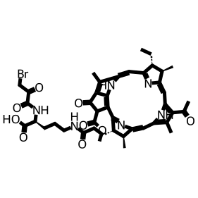 CC[C@H]1c2cc3[nH]c4c(c3C)C(=O)C(C(=O)OC)c4c3nc(cc4[nH]c(cc(n2)[C@@H]1C)c(C(C)=O)c4C)[C@@H](C)[C@@H]3CCC(=O)NCCC[C@H](NC(=O)C(=O)CBr)C(=O)O